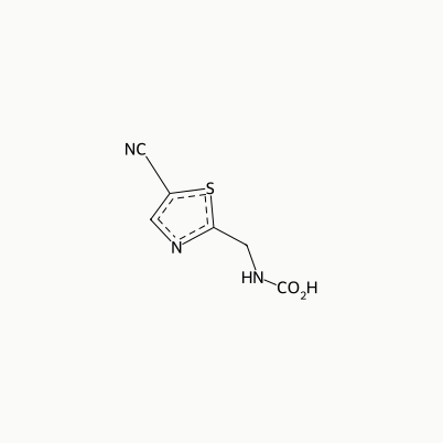 N#Cc1cnc(CNC(=O)O)s1